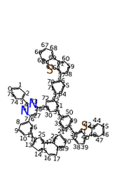 c1ccc(-c2nc(-c3cccc(-c4ccc5ccc6ccccc6c5c4)c3)cc(-c3cc(-c4ccc(-c5cccc6c5sc5ccccc56)cc4)cc(-c4ccc(-c5cccc6c5sc5ccccc56)cc4)c3)n2)cc1